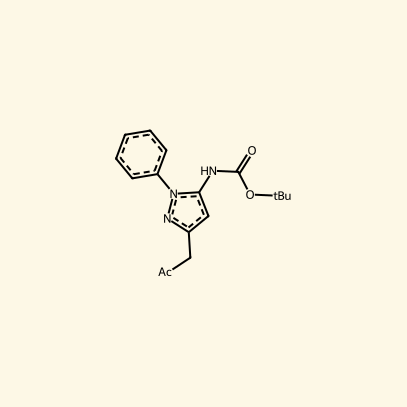 CC(=O)Cc1cc(NC(=O)OC(C)(C)C)n(-c2ccccc2)n1